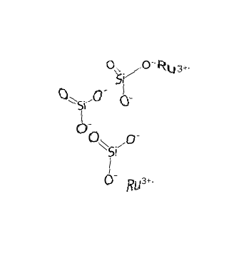 O=[Si]([O-])[O-].O=[Si]([O-])[O-].O=[Si]([O-])[O-].[Ru+3].[Ru+3]